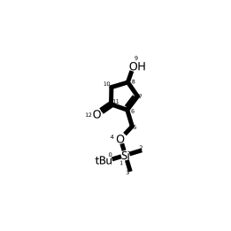 CC(C)(C)[Si](C)(C)OCC1=CC(O)CC1=O